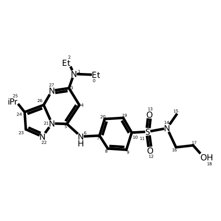 CCN(CC)c1cc(Nc2ccc(S(=O)(=O)N(C)CCO)cc2)n2ncc(C(C)C)c2n1